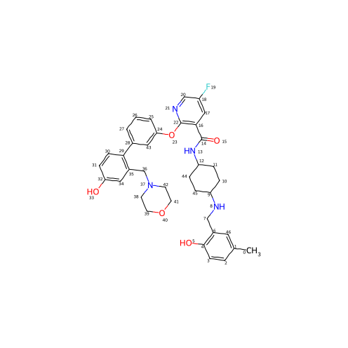 Cc1ccc(O)c(CNC2CCC(NC(=O)c3cc(F)cnc3Oc3cccc(-c4ccc(O)cc4CN4CCOCC4)c3)CC2)c1